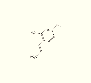 Cc1cc(N)ncc1C=CC(=O)O